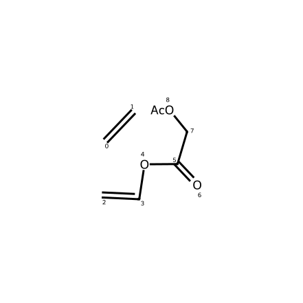 C=C.C=COC(=O)COC(C)=O